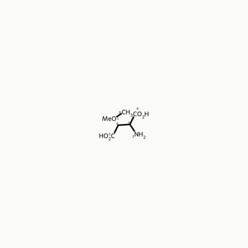 COC.NC(CC(=O)O)C(=O)O